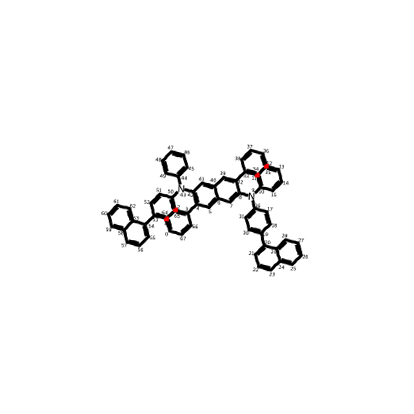 c1ccc(-c2cc3cc(N(c4ccccc4)c4ccc(-c5cccc6ccccc56)cc4)c(-c4ccccc4)cc3cc2N(c2ccccc2)c2ccc(-c3cccc4ccccc34)cc2)cc1